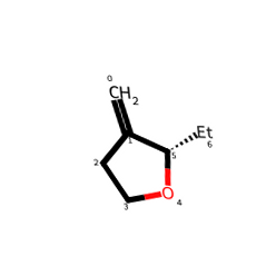 C=C1CCO[C@H]1CC